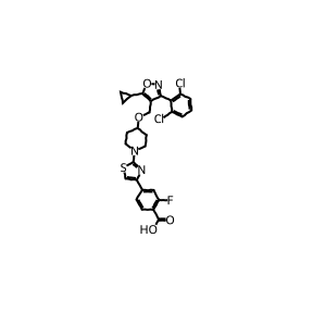 O=C(O)c1ccc(-c2csc(N3CCC(OCc4c(-c5c(Cl)cccc5Cl)noc4C4CC4)CC3)n2)cc1F